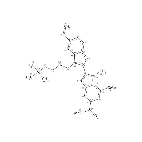 C=Cc1ccc2cc(-c3nc4cc(C(=O)OC)cc(OC)c4n3C)n(COCC[Si](C)(C)C)c2n1